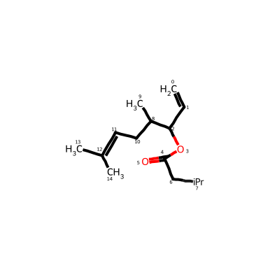 C=CC(OC(=O)CC(C)C)C(C)CC=C(C)C